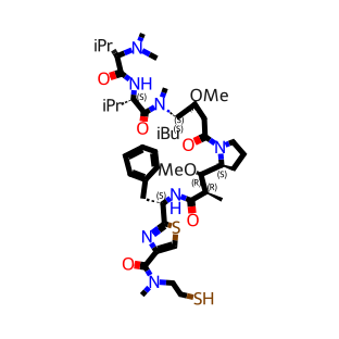 CC[C@H](C)[C@@H]([C@@H](CC(=O)N1CCC[C@H]1[C@H](OC)[C@@H](C)C(=O)N[C@@H](Cc1ccccc1)c1nc(C(=O)N(C)CCS)cs1)OC)N(C)C(=O)[C@@H](NC(=O)C(C(C)C)N(C)C)C(C)C